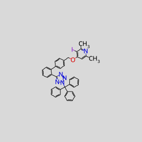 Cc1cc(OCc2ccc(-c3ccccc3-c3nnn(C(c4ccccc4)(c4ccccc4)c4ccccc4)n3)cc2)c(I)c(C)n1